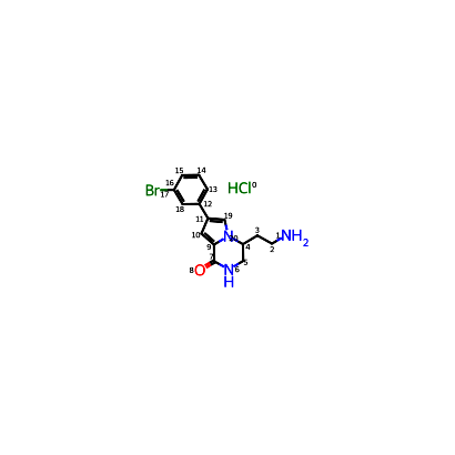 Cl.NCCC1CNC(=O)c2cc(-c3cccc(Br)c3)cn21